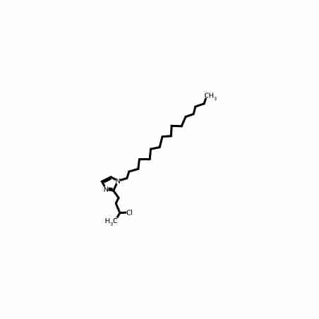 CCCCCCCCCCCCCCCCn1ccnc1CCC(C)Cl